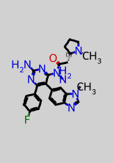 CN1CCC[C@H]1CC(=O)N(N)c1nc(N)nc(-c2ccc(F)cc2)c1-c1ccc2ncn(C)c2c1